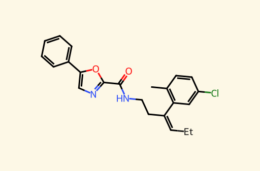 CC/C=C(/CCNC(=O)c1ncc(-c2ccccc2)o1)c1cc(Cl)ccc1C